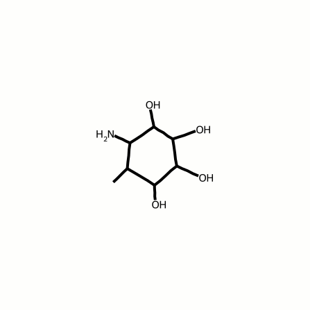 CC1C(N)C(O)C(O)C(O)C1O